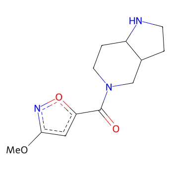 COc1cc(C(=O)N2CCC3NCCC3C2)on1